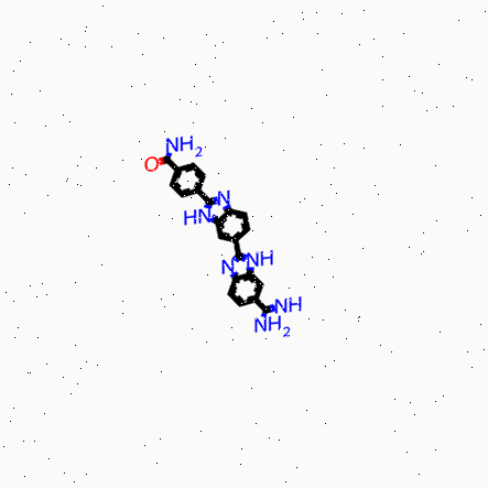 N=C(N)c1ccc2nc(-c3ccc4nc(-c5ccc(C(N)=O)cc5)[nH]c4c3)[nH]c2c1